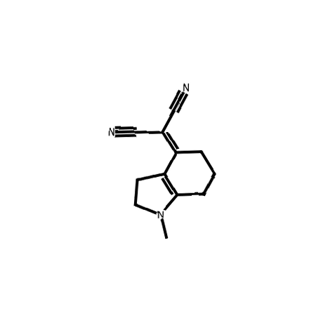 CN1CCC2=C1CCCC2=C(C#N)C#N